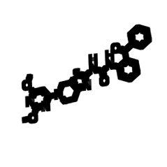 COc1cc(N2CCc3nc(NC(=O)Nc4ccccc4C(=O)c4ccccc4)sc3C2)nc(OC)n1